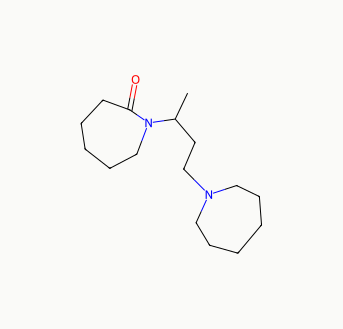 CC(CCN1CCCCCC1)N1CCCCCC1=O